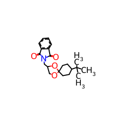 CC(C)(C)C1CCC2(CC1)OCC(CN1C(=O)c3ccccc3C1=O)O2